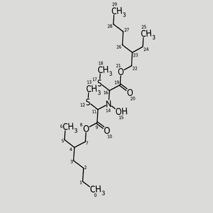 CCCCC(CC)COC(=O)C(SC)N(O)C(SC)C(=O)OCC(CC)CCCC